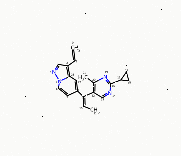 C=Cc1cnn2ccc(/C(=C/C)c3cnc(C4CC4)nc3C)cc12